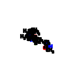 CC(=O)Nc1cc(CCc2ccc(NC(=O)Nc3cc(C(C)(C)C)nn3C(C)C)c(F)c2)ccn1